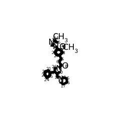 COc1cc(C=CC(=O)N2CC(CN3CCCCC3)C(c3ccccc3)C2)ccc1-n1cnc(C)c1